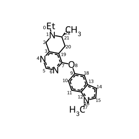 CCN1Cc2ncnc(Oc3ccc4c(ccn4C)c3)c2C[C@@H]1C